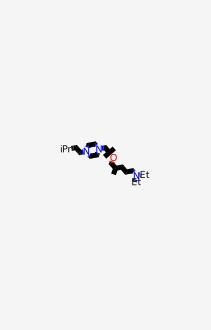 CCN(CC)CCCC(C)COC(C)(C)CN1CCN(CCC(C)C)CC1